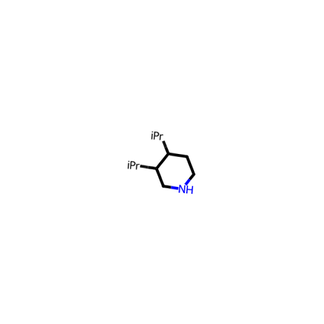 CC(C)C1CCNCC1C(C)C